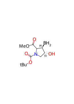 B[C@@H]1C(C(=O)OC)N(C(=O)OC(C)(C)C)C[C@H]1O